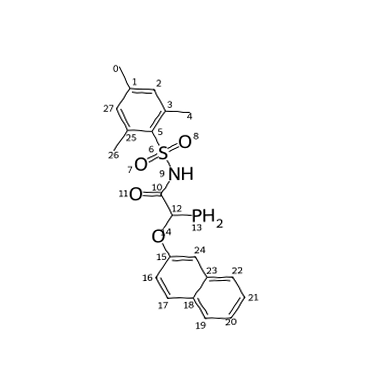 Cc1cc(C)c(S(=O)(=O)NC(=O)C(P)Oc2ccc3ccccc3c2)c(C)c1